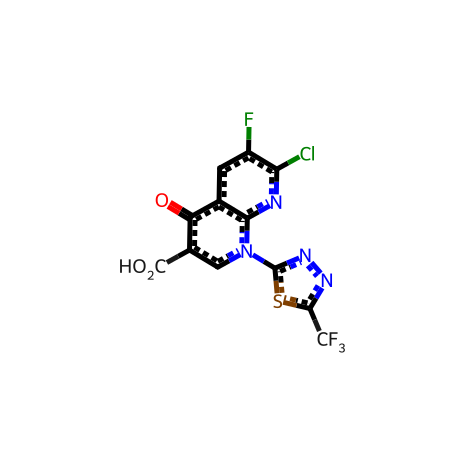 O=C(O)c1cn(-c2nnc(C(F)(F)F)s2)c2nc(Cl)c(F)cc2c1=O